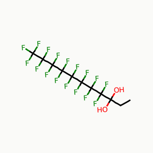 CCC(O)(O)C(F)(F)C(F)(F)C(F)(F)C(F)(F)C(F)(F)C(F)(F)C(F)(F)C(F)(F)F